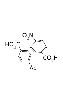 CC(=O)c1ccc(C(=O)O)cc1.O=C(O)c1ccc([N+](=O)[O-])cc1